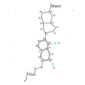 C/C=C/CCc1cc2ccc(C3CCC4CC(CCCCC)CCC4C3)c(F)c2cc1F